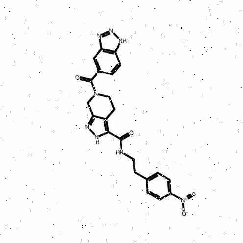 O=C(NCCc1ccc([N+](=O)[O-])cc1)c1[nH]nc2c1CCN(C(=O)c1ccc3[nH]nnc3c1)C2